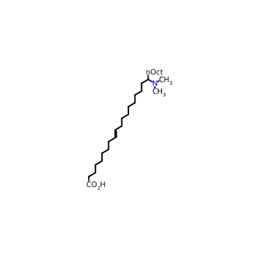 CCCCCCCCC(CCCCCCCCC=CCCCCCCCC(=O)O)N(C)C